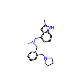 Cc1cc2c(CN(C)Cc3ccccc3CN3CCCC3)cccc2[nH]1